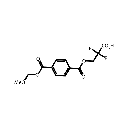 COCOC(=O)c1ccc(C(=O)OCC(F)(F)C(=O)O)cc1